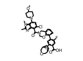 COC1CCN(c2cc(Cl)c(C(=O)N3COc4c(cccc4-c4cc(N5C6CCC5COC6)c(C(=O)O)cc4F)C3)c3nc(C)n(C)c23)CC1